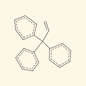 C=CC(c1ccccc1)(c1ccccc1)c1ccccc1